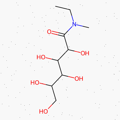 CCN(C)C(=O)C(O)C(O)C(O)C(O)CO